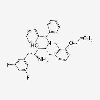 C=CCOc1cccc2c1CN(C(c1ccccc1)c1ccccc1)[C@@H]([C@@H](O)[C@@H](N)Cc1cc(F)cc(F)c1)C2